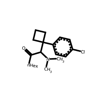 CCCCCCC(=O)C(N(C)C)C1(c2ccc(Cl)cc2)CCC1